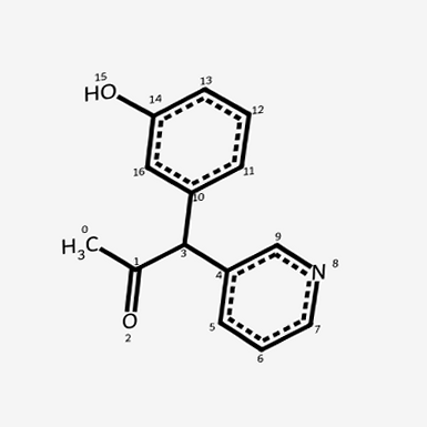 CC(=O)C(c1cccnc1)c1cccc(O)c1